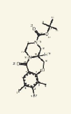 Cc1c(Br)c(I)cc2c1OC[C@H]1CN(C(=O)OC(C)(C)C)CCN1C2=O